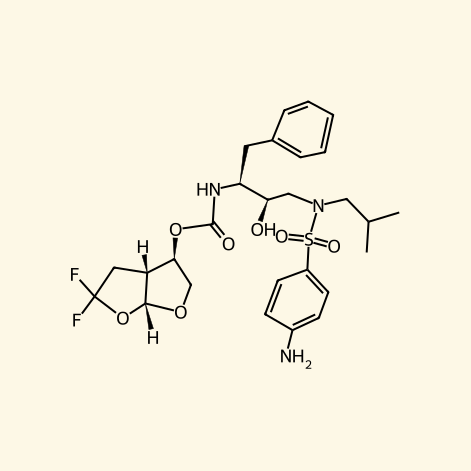 CC(C)CN(C[C@@H](O)[C@H](Cc1ccccc1)NC(=O)O[C@H]1CO[C@@H]2OC(F)(F)C[C@@H]21)S(=O)(=O)c1ccc(N)cc1